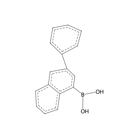 OB(O)c1cc(-c2ccccc2)cc2ccccc12